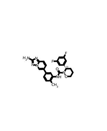 Cc1ccc(-c2ccc3nc(N)nn3c2)cc1NC(=O)N1OCCC[C@H]1c1cc(F)cc(F)c1